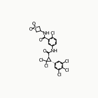 O=C(NC1CS(=O)(=O)C1)c1cc(NC(=O)[C@H]2[C@H](c3cc(Cl)c(Cl)c(Cl)c3)C2(Cl)Cl)ccc1Cl